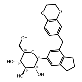 OC[C@H]1O[C@@H](c2cc3c(c(Cc4ccc5c(c4)OCCO5)c2)CCC3)[C@H](O)[C@@H](O)[C@@H]1O